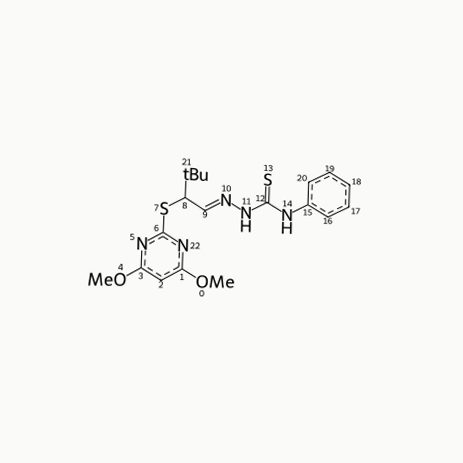 COc1cc(OC)nc(SC(C=NNC(=S)Nc2ccccc2)C(C)(C)C)n1